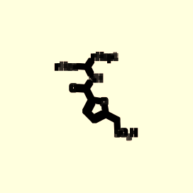 CCCCCCCC(CCCCCC)NC(=O)c1ccc(CS(=O)(=O)O)o1